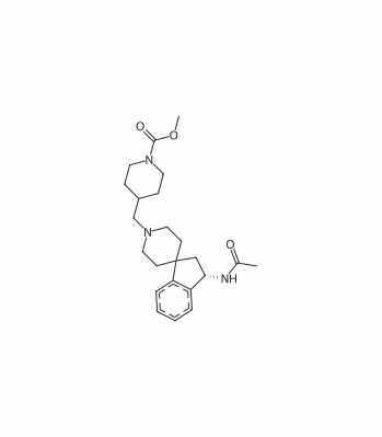 COC(=O)N1CCC(CN2CCC3(CC2)C[C@H](NC(C)=O)c2ccccc23)CC1